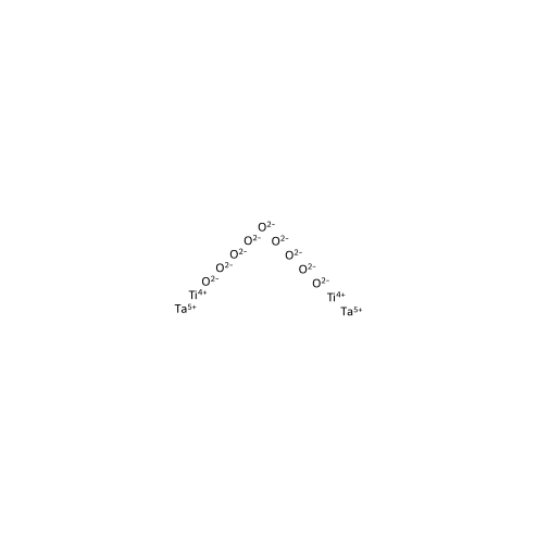 [O-2].[O-2].[O-2].[O-2].[O-2].[O-2].[O-2].[O-2].[O-2].[Ta+5].[Ta+5].[Ti+4].[Ti+4]